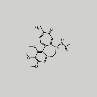 COc1cc2c(c(OC)c1OC)-c1ccc(N)c(=O)cc1[C@@H](NC(C)=O)CC2